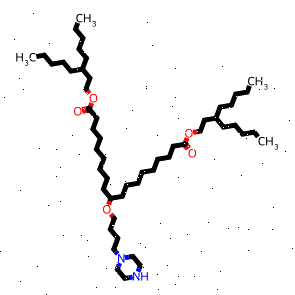 CCCCCC(CCCCC)CCOC(=O)CCCCCCCCC(CCCCCCCCC(=O)OCCC(CCCCC)CCCCC)OCCCCN1CCNCC1